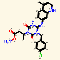 CC1=CCNc2cc(/N=c3\[nH]c(=O)n([C@@H](C)CC(=O)ON)c(=O)n3Cc3ccc(Cl)cc3)ccc21